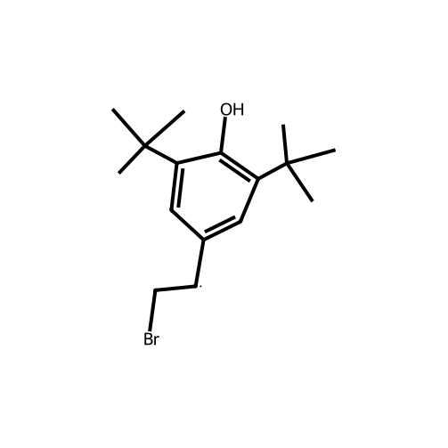 CC(C)(C)c1cc([CH]CBr)cc(C(C)(C)C)c1O